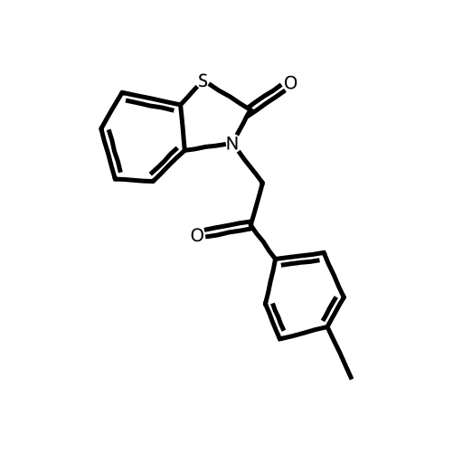 Cc1ccc(C(=O)Cn2c(=O)sc3ccccc32)cc1